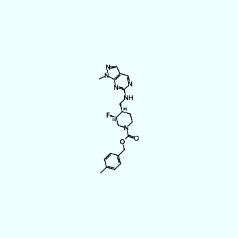 Cc1ccc(COC(=O)N2CC[C@H](CNc3ncc4cnn(C)c4n3)[C@H](F)C2)cc1